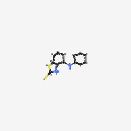 S=c1[nH]c2c(Nc3ccccc3)cccc2s1